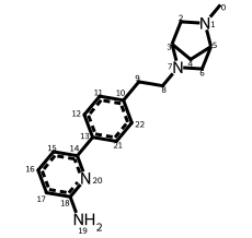 CN1CC2CC1CN2CCc1ccc(-c2cccc(N)n2)cc1